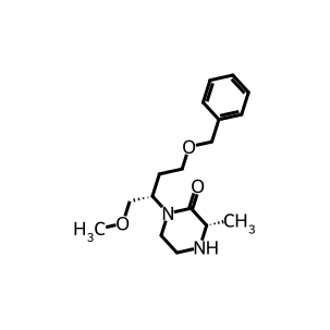 COC[C@H](CCOCc1ccccc1)N1CCN[C@@H](C)C1=O